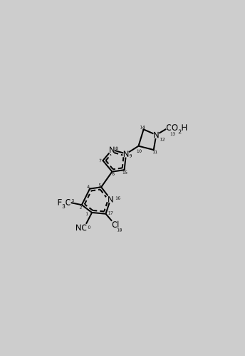 N#Cc1c(C(F)(F)F)cc(-c2cnn(C3CN(C(=O)O)C3)c2)nc1Cl